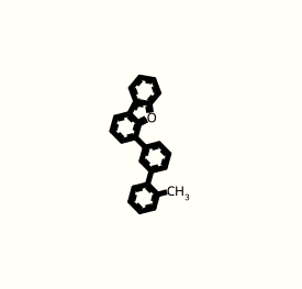 Cc1ccccc1-c1cccc(-c2cccc3c2oc2ccccc23)c1